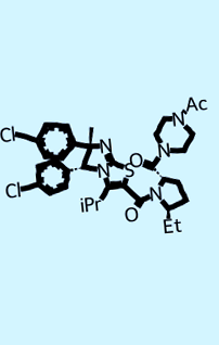 CC[C@@H]1CC[C@@H](C(=O)N2CCN(C(C)=O)CC2)N1C(=O)C1=C(C(C)C)N2C(=N[C@@](C)(c3ccc(Cl)cc3)[C@H]2c2ccc(Cl)cc2)S1